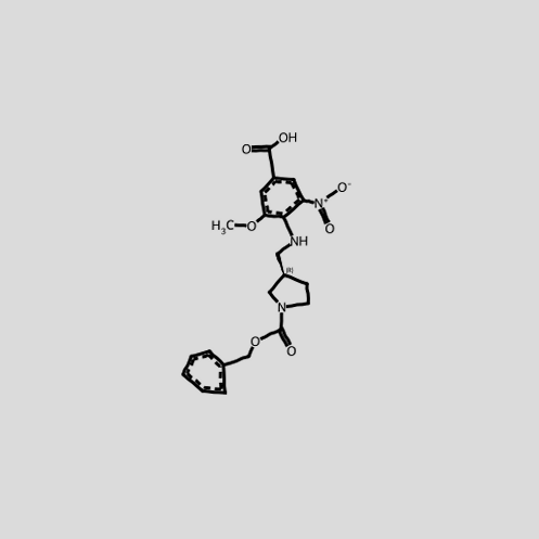 COc1cc(C(=O)O)cc([N+](=O)[O-])c1NC[C@H]1CCN(C(=O)OCc2ccccc2)C1